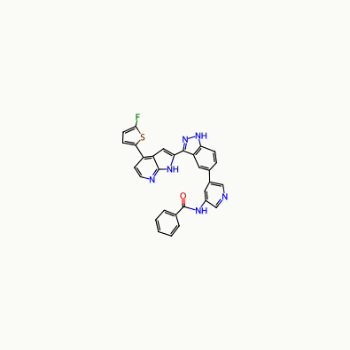 O=C(Nc1cncc(-c2ccc3[nH]nc(-c4cc5c(-c6ccc(F)s6)ccnc5[nH]4)c3c2)c1)c1ccccc1